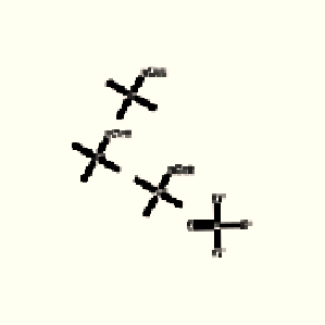 CCCCCCCC[N+](C)(C)C.CCCCCCCC[N+](C)(C)C.CCCCCCCC[N+](C)(C)C.O=P([O-])([O-])[O-]